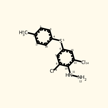 Cc1ccc(Sc2cc(Cl)c(NN)c(Cl)c2)cc1